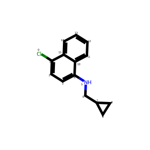 Clc1ccc(NCC2CC2)c2ccccc12